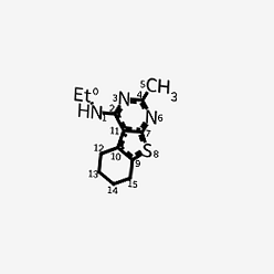 CCNc1nc(C)nc2sc3c(c12)CCCC3